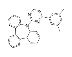 Cc1cc(C)cc(-c2ccnc(N3c4ccccc4-c4ccccc4C4C=CC=CC43)n2)c1